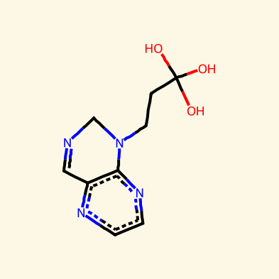 OC(O)(O)CCN1CN=Cc2nccnc21